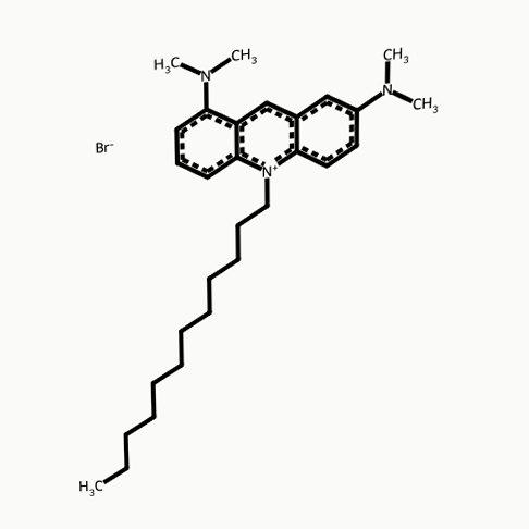 CCCCCCCCCCCC[n+]1c2ccc(N(C)C)cc2cc2c(N(C)C)cccc21.[Br-]